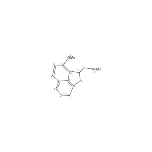 COc1ccc2cccc3c2c1C(CNC(C)=O)C3